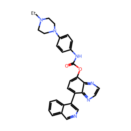 CCN1CCN(c2ccc(NC(=O)Oc3ccc(-c4cncc5ccccc45)c4nccnc34)cc2)CC1